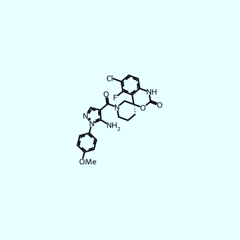 COc1ccc(-n2ncc(C(=O)N3CCC[C@@]4(C3)OC(=O)Nc3ccc(Cl)c(F)c34)c2N)cc1